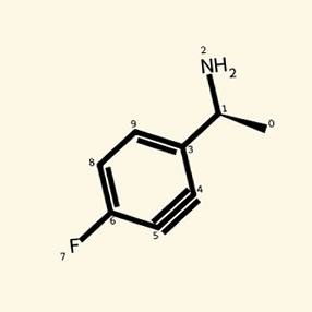 C[C@H](N)c1c#cc(F)cc1